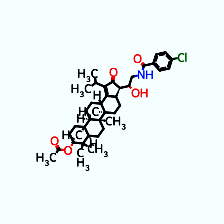 CC(=O)O[C@H]1CC[C@]2(C)[C@H]3CC[C@@H]4C5=C(C(C)C)C(=O)[C@@H]([C@H](O)CNC(=O)c6ccc(Cl)cc6)C5CC[C@@]4(C)[C@]3(C)CC[C@H]2C1(C)C